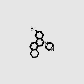 Brc1ccc2ccc3c4c(ccc3c2c1)CCCC4.c1cnccn1